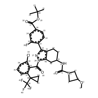 COC1CN(C(=O)NC2CCc3c(-c4ccc(C(=O)OC(C)(C)C)cc4F)nn(C(=O)c4c(Cl)cccc4C4(C(F)(F)F)CC4)c3C2)C1